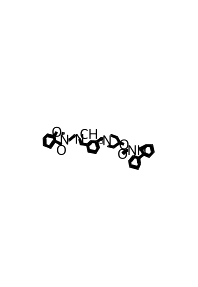 CN(CCN1COc2ccccc2C1=O)Cc1cccc(CN2CCC(OC(=O)Nc3ccccc3-c3ccccc3)CC2)c1